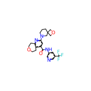 O=C(Nc1cncc(C(F)(F)F)c1)c1cc(N2CCCC3(COC3)C2)nc2c1CCOCC2